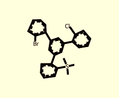 CS(C)(C)c1ccccc1-c1cc(-c2ccccc2Cl)cc(-c2ccccc2Br)c1